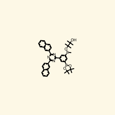 CB(OC(C)(C)C(C)(C)O)c1cc(B2OC(C)(C)C(C)(C)O2)cc(-c2nc(-c3ccc4ccccc4c3)nc(-c3ccc4ccccc4c3)n2)c1